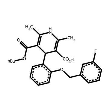 CCCCOC(=O)C1=C(C)NC(C)=C(C(=O)O)C1c1ccccc1OCc1cccc(F)c1